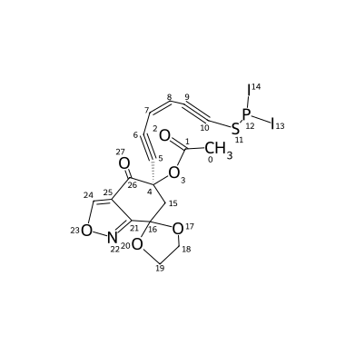 CC(=O)O[C@@]1(C#C/C=C\C#CSP(I)I)CC2(OCCO2)c2nocc2C1=O